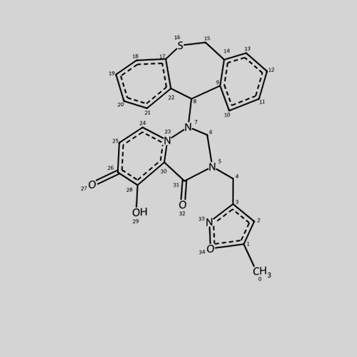 Cc1cc(CN2CN(C3c4ccccc4CSc4ccccc43)n3ccc(=O)c(O)c3C2=O)no1